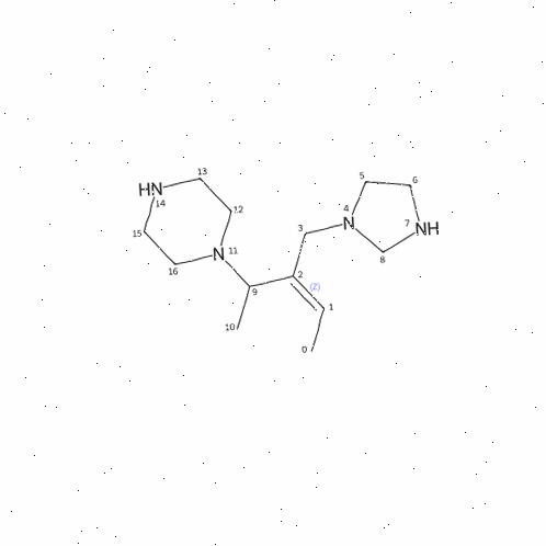 C/C=C(/CN1CCNC1)C(C)N1CCNCC1